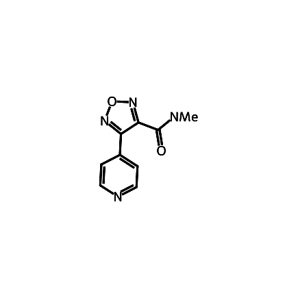 CNC(=O)c1nonc1-c1ccncc1